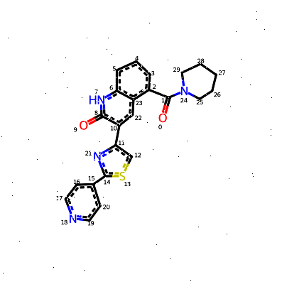 O=C(c1cccc2[nH]c(=O)c(-c3csc(-c4ccncc4)n3)cc12)N1CCCCC1